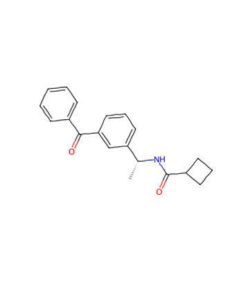 C[C@@H](NC(=O)C1CCC1)c1cccc(C(=O)c2ccccc2)c1